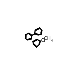 C.Clc1ccccc1.c1ccc(-c2ccccc2)cc1